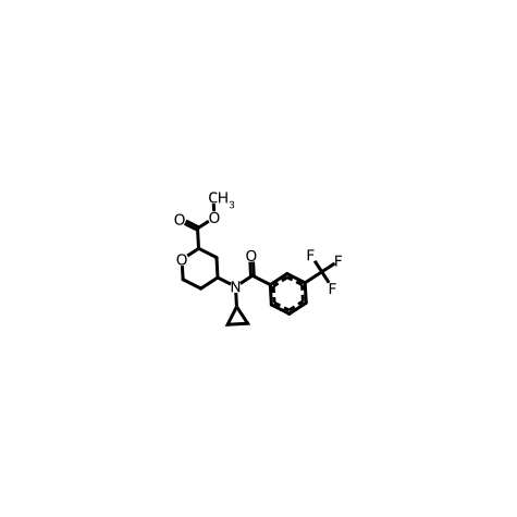 COC(=O)C1CC(N(C(=O)c2cccc(C(F)(F)F)c2)C2CC2)CCO1